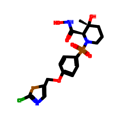 C[C@]1(O)CCCN(S(=O)(=O)c2ccc(OCc3cnc(Cl)s3)cc2)[C@H]1C(=O)NO